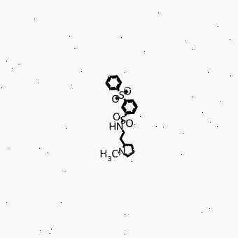 CN1CCCC1CCNS(=O)(=O)c1cccc(S(=O)(=O)c2ccccc2)c1